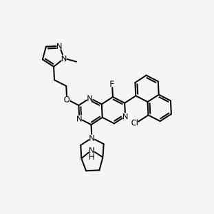 Cn1nccc1CCOc1nc(N2CC3CCC(C2)N3)c2cnc(-c3cccc4cccc(Cl)c34)c(F)c2n1